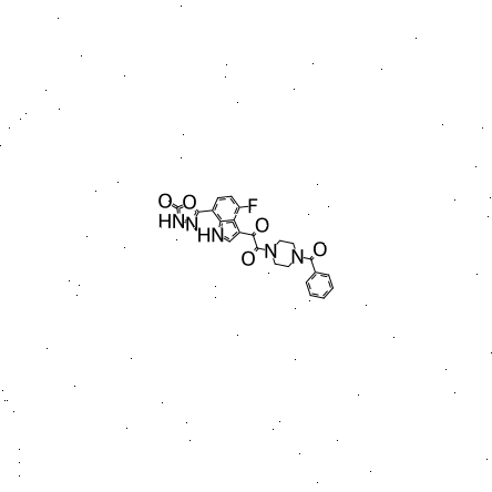 O=C(C(=O)N1CCN(C(=O)c2ccccc2)CC1)c1c[nH]c2c(-c3n[nH]c(=O)o3)ccc(F)c12